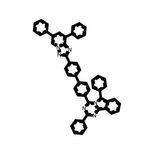 c1ccc(-c2cc(-c3ccccc3)c3nc(-c4ccc(-c5ccc(-c6nc(-c7ccccc7)nc7c8ccccc8c(-c8ccccc8)n67)cc5)cc4)nn3c2)cc1